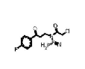 N#P(P)N(CCC(=O)c1ccc(F)cc1)C(=O)CCl